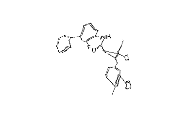 Cc1ccc(C2C(C(=O)Nc3cccc(-c4ccccc4)c3F)C2(C)Cl)cc1Cl